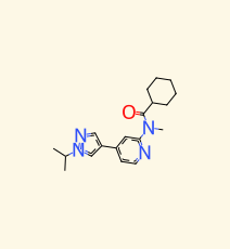 CC(C)n1cc(-c2ccnc(N(C)C(=O)C3CCCCC3)c2)cn1